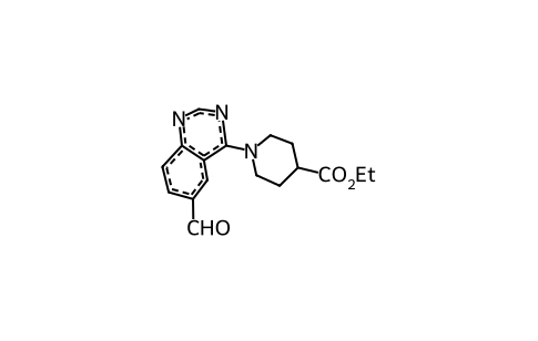 CCOC(=O)C1CCN(c2ncnc3ccc(C=O)cc23)CC1